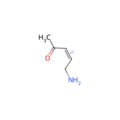 CC(=O)/C=C\CN